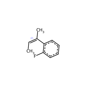 C/C=C(/C)c1ccccc1F